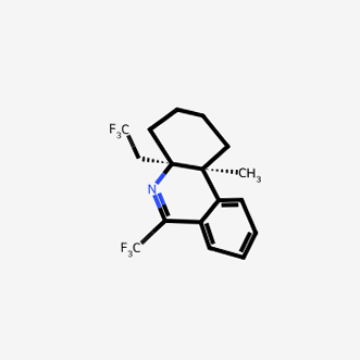 C[C@@]12CCCC[C@]1(CC(F)(F)F)N=C(C(F)(F)F)c1ccccc12